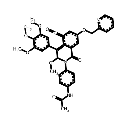 COc1cc(C2=c3c(cc(OCc4ccccn4)cc3=C=O)C(=O)N(c3ccc(NC(C)=O)cc3)C2OC)cc(OC)c1OC